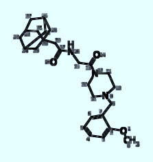 COc1ccccc1CN1CCN(C(=O)CNC(=O)CC23CC4CC(CC(C4)C2)C3)CC1